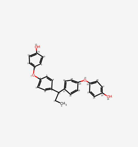 CCC(c1ccc(Oc2ccc(O)cc2)cc1)c1ccc(Oc2ccc(O)cc2)cc1